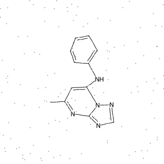 Cc1cc(Nc2ccccc2)n2ncnc2n1